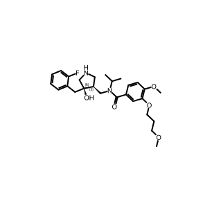 COCCCOc1cc(C(=O)N(C[C@@H]2CNC[C@@]2(O)Cc2ccccc2F)C(C)C)ccc1OC